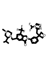 CC(C)C1CN(C)CCN1Cc1cc2c(c(C(F)(F)F)c1)CN(c1cccc(C3(Cc4nncn4C(F)F)COC3)c1)C2=O